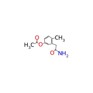 CC(=O)Oc1ccc(C)c(CC(N)=O)c1